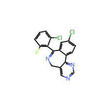 Fc1cccc(Cl)c1C1=NCc2cncnc2-c2ccc(Cl)cc21